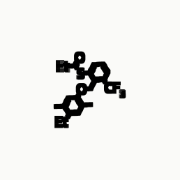 CCC(=O)Sc1cccc(C(F)(F)F)c1COc1cc(C)c(CC)cc1C